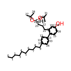 CCCCCCCCCCc1ccc(-c2ccc(O)cc2CCC[SiH](OC(C)C)OC(C)C)cc1